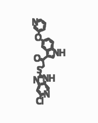 O=C(CSc1nc2cc(Cl)ncc2[nH]1)c1c[nH]c2ccc(Oc3cccnc3)cc12